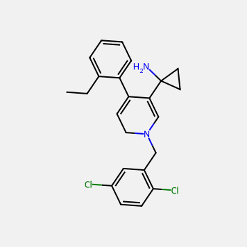 CCc1ccccc1C1=CCN(Cc2cc(Cl)ccc2Cl)C=C1C1(N)CC1